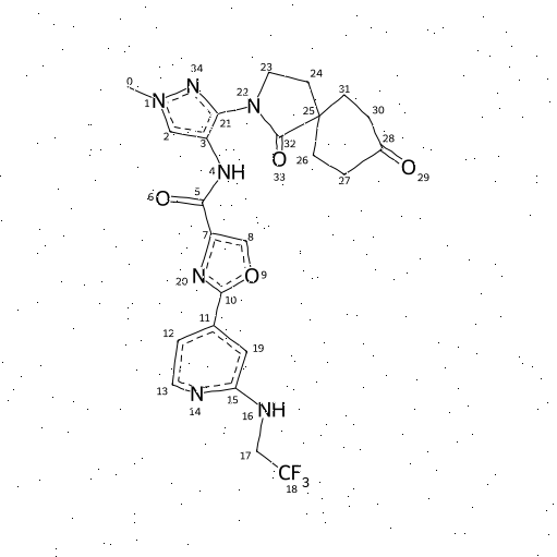 Cn1cc(NC(=O)c2coc(-c3ccnc(NCC(F)(F)F)c3)n2)c(N2CCC3(CCC(=O)CC3)C2=O)n1